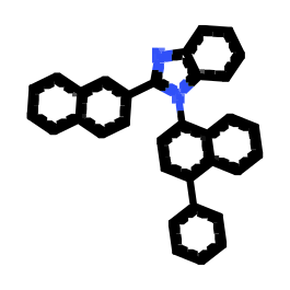 c1ccc(-c2ccc(-n3c(-c4ccc5ccccc5c4)nc4ccccc43)c3ccccc23)cc1